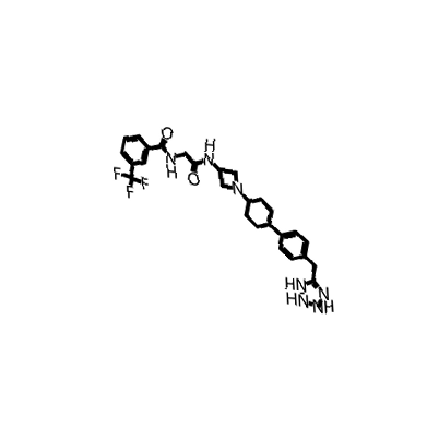 O=C(CNC(=O)c1cccc(C(F)(F)F)c1)NC1CN(C2CCC(c3ccc(CC4=NNNN4)cc3)CC2)C1